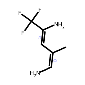 CC(=C/N)/C=C(\N)C(F)(F)F